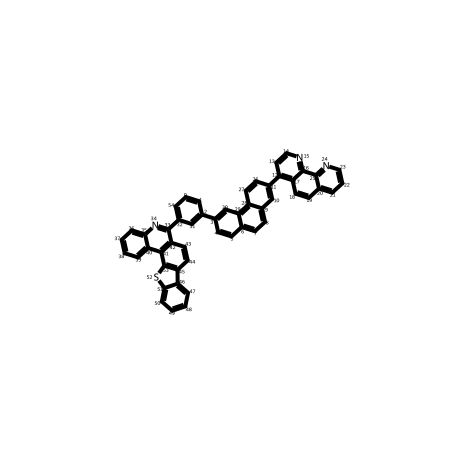 c1cc(-c2ccc3ccc4cc(-c5ccnc6c5ccc5cccnc56)ccc4c3c2)cc(-c2nc3ccccc3c3c2ccc2c4ccccc4sc23)c1